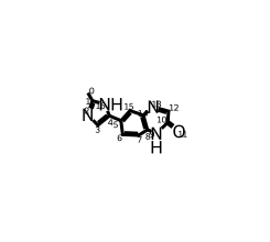 Cc1ncc(-c2ccc3[nH]c(=O)cnc3c2)[nH]1